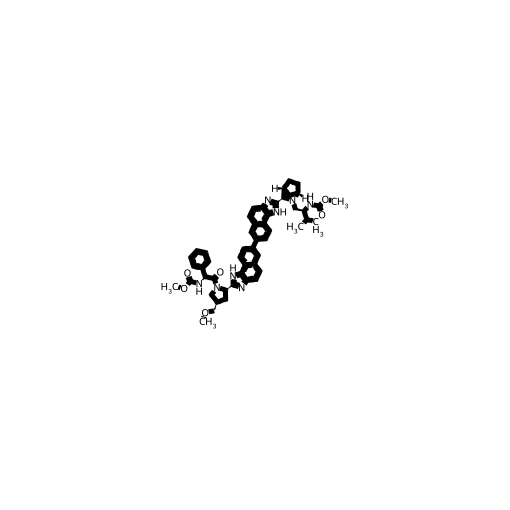 COC[C@H]1C[C@@H](c2nc3ccc4cc(-c5ccc6c(ccc7nc([C@@H]8[C@@H]9CC[C@@H](C9)N8C[C@@H](NC(=O)OC)C(C)C)[nH]c76)c5)ccc4c3[nH]2)N(C(=O)[C@H](NC(=O)OC)c2ccccc2)C1